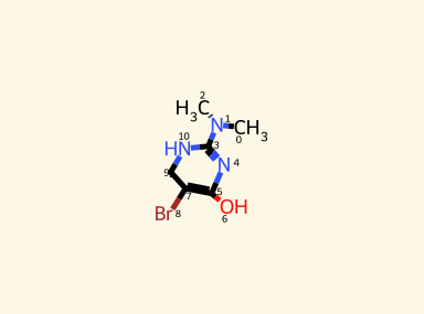 CN(C)C1=NC(O)=C(Br)[CH]N1